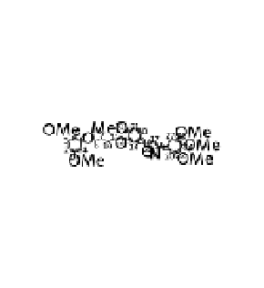 COc1c[c]c(OC)c(OCCCCOc2cc(-c3cc(-c4cc(OC)c(OC)c(OC)c4)no3)ccc2OC)c1